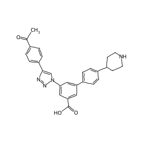 CC(=O)c1ccc(-c2cn(-c3cc(C(=O)O)cc(-c4ccc(C5CCNCC5)cc4)c3)nn2)cc1